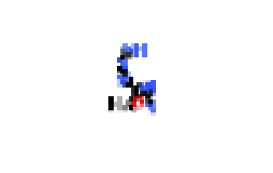 COc1cc(-c2cnn(C3CN(CC4CNC4)C3)c2)cn2ncc(C#N)c12